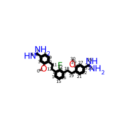 COc1cc(C(=N)N)ccc1CCc1cccc(CCc2ccc(C(=N)N)cc2OC)c1F